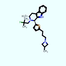 CC1CN(CCCc2ccc([C@@H]3c4[nH]c5ccccc5c4C[C@@H](C)N3CC(C)(C)F)s2)C1